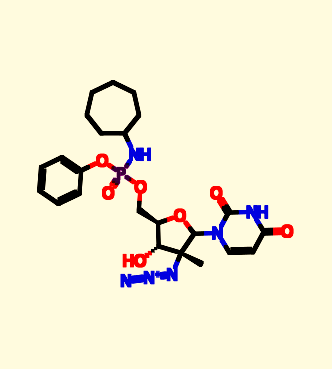 C[C@]1(N=[N+]=[N-])C(n2ccc(=O)[nH]c2=O)O[C@H](COP(=O)(NC2CCCCCC2)Oc2ccccc2)[C@H]1O